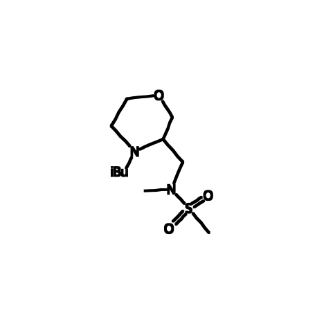 CCC(C)N1CCOCC1CN(C)S(C)(=O)=O